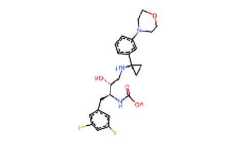 O=C(O)N[C@@H](Cc1cc(F)cc(F)c1)[C@H](O)CNC1(c2cccc(N3CCOCC3)c2)CC1